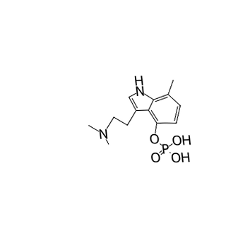 Cc1ccc(OP(=O)(O)O)c2c(CCN(C)C)c[nH]c12